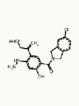 C=C(COC)c1cc(C(=O)N2Cc3ccc(Cl)cc3C2)c(O)cc1NN